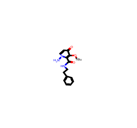 CCCCOc1c(C(=O)NCCc2ccccc2)n(N)ccc1=O